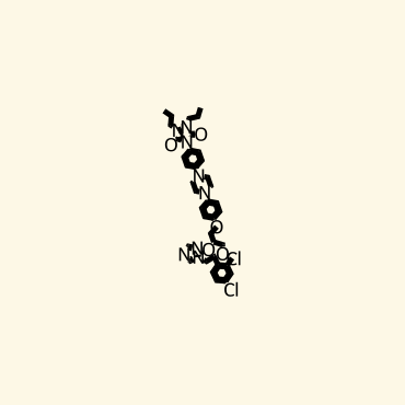 CCCn1c(=O)n(-c2ccc(N3CCN(c4ccc(OCC5COC(Cn6cncn6)(c6ccc(Cl)cc6Cl)O5)cc4)CC3)cc2)c(=O)n1CCC